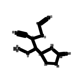 N#CC(OC=O)C(OP)C1COC(=O)O1